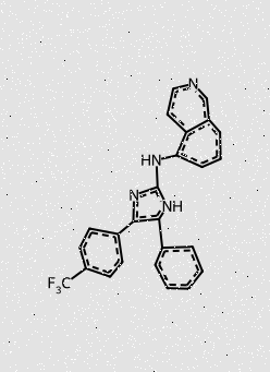 FC(F)(F)c1ccc(-c2nc(Nc3cccc4cnccc34)[nH]c2-c2ccccc2)cc1